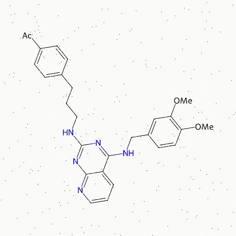 COc1ccc(CNc2nc(NCCCc3ccc(C(C)=O)cc3)nc3ncccc23)cc1OC